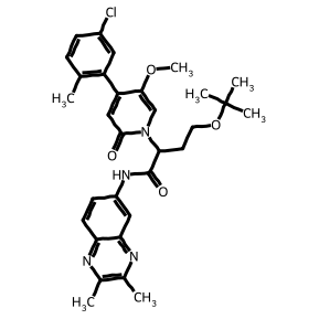 COc1cn(C(CCOC(C)(C)C)C(=O)Nc2ccc3nc(C)c(C)nc3c2)c(=O)cc1-c1cc(Cl)ccc1C